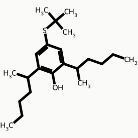 CCCCC(C)c1cc(SC(C)(C)C)cc(C(C)CCCC)c1O